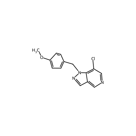 COc1ccc(Cn2ncc3cncc(Cl)c32)cc1